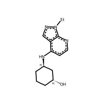 CCn1ncc2c(N[C@@H]3CCC[C@@H](O)C3)ccnc21